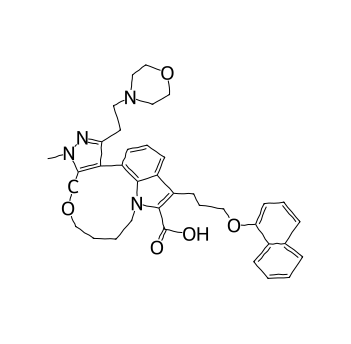 Cn1nc(CCN2CCOCC2)c2c1COCCCCn1c(C(=O)O)c(CCCOc3cccc4ccccc34)c3cccc-2c31